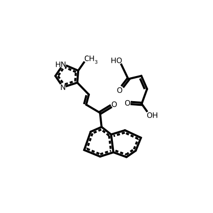 Cc1[nH]cnc1/C=C/C(=O)c1cccc2ccccc12.O=C(O)/C=C\C(=O)O